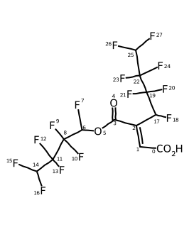 O=C(O)C=C(C(=O)OC(F)C(F)(F)C(F)(F)C(F)F)C(F)C(F)(F)C(F)(F)C(F)F